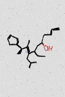 C=CCCC(O)CC(CC)/C(CC(C)C)=C(\C)C(=C)C1CC=CC1